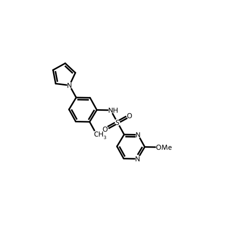 COc1nccc(S(=O)(=O)Nc2cc(-n3cccc3)ccc2C)n1